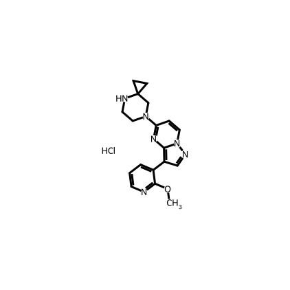 COc1ncccc1-c1cnn2ccc(N3CCNC4(CC4)C3)nc12.Cl